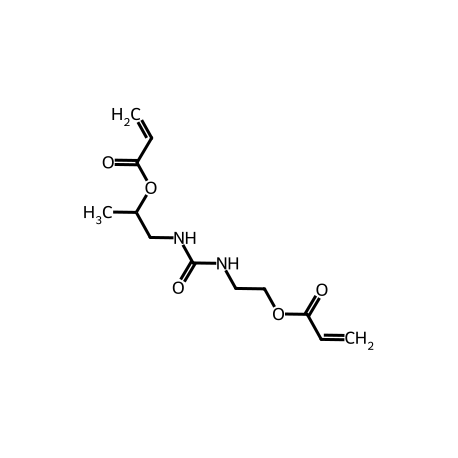 C=CC(=O)OCCNC(=O)NCC(C)OC(=O)C=C